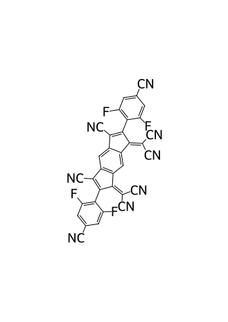 N#CC(C#N)=C1C(c2c(F)cc(C#N)cc2F)=C(C#N)c2cc3c(cc21)C(=C(C#N)C#N)C(c1c(F)cc(C#N)cc1F)=C3C#N